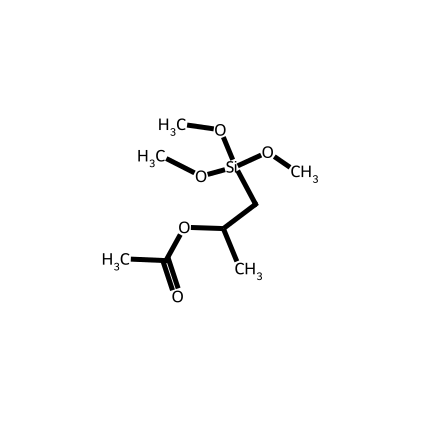 CO[Si](CC(C)OC(C)=O)(OC)OC